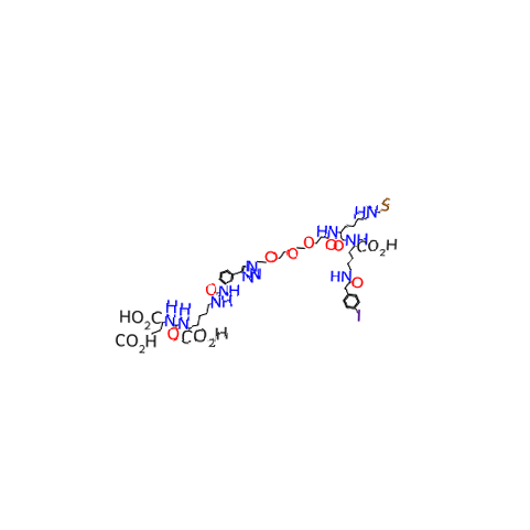 O=C(O)CCC(NC(=O)NC(CCCCNC(=O)Nc1cccc(-c2cn(CCOCCOCCOCCC(=O)NC(CCCCNC=S)C(=O)NC(CCCCNC(=O)Cc3ccc(I)cc3)C(=O)O)nn2)c1)C(=O)O)C(=O)O